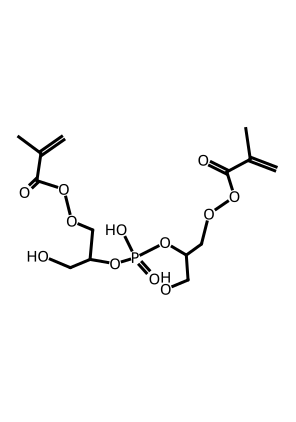 C=C(C)C(=O)OOCC(CO)OP(=O)(O)OC(CO)COOC(=O)C(=C)C